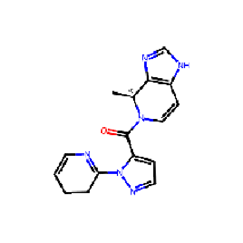 C[C@H]1c2nc[nH]c2C=CN1C(=O)c1ccnn1C1=NC=CCC1